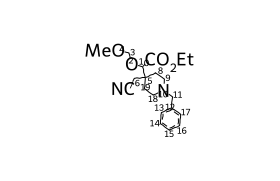 CCOC(=O)C(OCOC)C1(CC#N)CCN(Cc2ccccc2)CC1